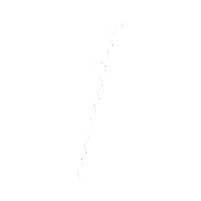 CCCCCCCCCCCCCCCCCNCCCCCO